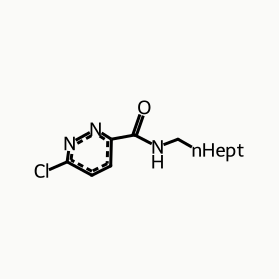 CCCCCCCCNC(=O)c1ccc(Cl)nn1